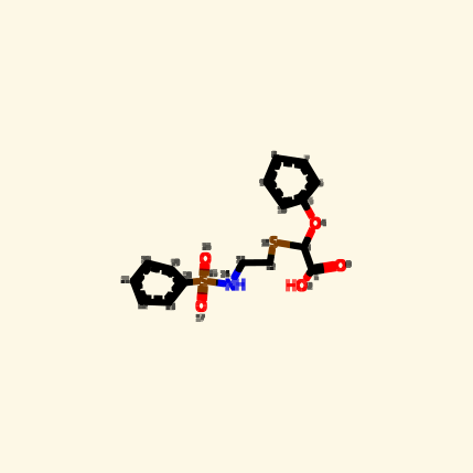 O=C(O)C(Oc1ccccc1)SCCNS(=O)(=O)c1ccccc1